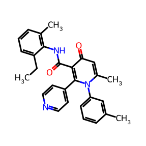 CCc1cccc(C)c1NC(=O)c1c(-c2ccncc2)n(-c2cccc(C)c2)c(C)cc1=O